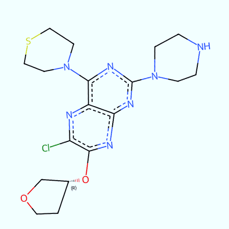 Clc1nc2c(N3CCSCC3)nc(N3CCNCC3)nc2nc1O[C@@H]1CCOC1